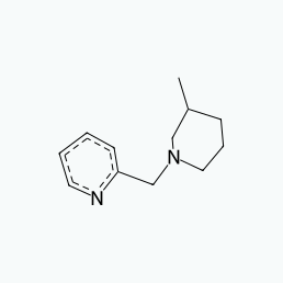 CC1CCCN(Cc2ccccn2)C1